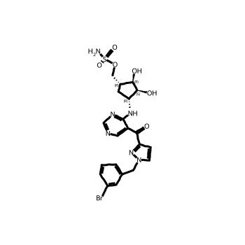 NS(=O)(=O)OC[C@H]1C[C@@H](Nc2ncncc2C(=O)c2ccn(Cc3cccc(Br)c3)n2)[C@H](O)[C@@H]1O